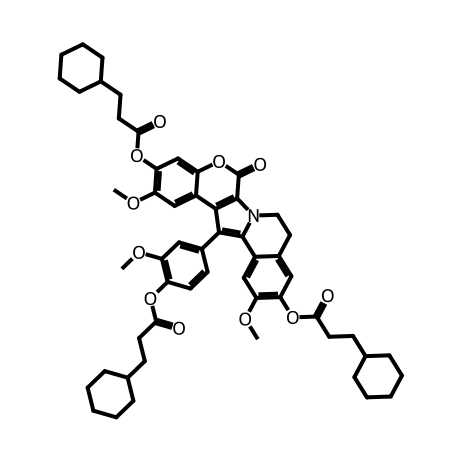 COc1cc(-c2c3n(c4c(=O)oc5cc(OC(=O)CCC6CCCCC6)c(OC)cc5c24)CCc2cc(OC(=O)CCC4CCCCC4)c(OC)cc2-3)ccc1OC(=O)CCC1CCCCC1